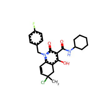 CC1(Cl)C=Cc2c(c(O)c(C(=O)NC3CCCCC3)c(=O)n2Cc2ccc(F)cc2)C1